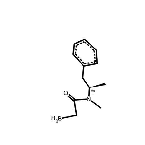 BCC(=O)N(C)[C@H](C)Cc1ccccc1